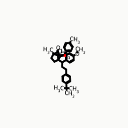 COc1ccc(C(CCc2ccc(C(C)(C)C)cc2)C23CCC(C)(C(=O)C2=Cc2ccc(C)cc2)C3(C)C)cc1